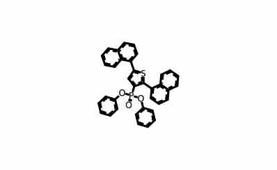 O=P(Oc1ccccc1)(Oc1ccccc1)c1cc(-c2cccc3ccccc23)sc1-c1cccc2ccccc12